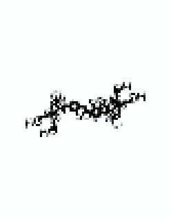 Nc1c(-c2nc(Cl)nc(N(OCCO)OCCO)n2)ccc(C=Cc2ccc(-c3nc(Cl)nc(N(OCCO)OCCO)n3)cc2S(=O)(=O)O)c1S(=O)(=O)O